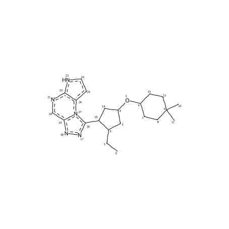 CCC1CC(OC2CCC(C)(C)CC2)CC1c1nnc2cnc3[nH]ccc3n12